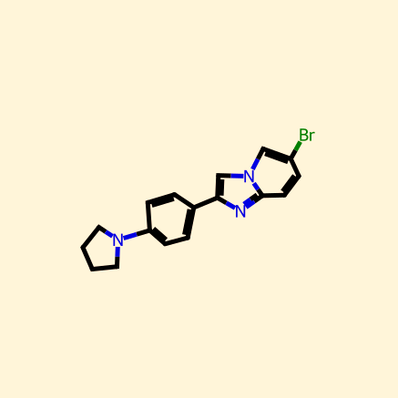 Brc1ccc2nc(-c3ccc(N4CCCC4)cc3)cn2c1